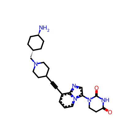 N[C@H]1CC[C@H](CN2CCC(C#Cc3cccn4c(N5CCC(=O)NC5=O)cnc34)CC2)CC1